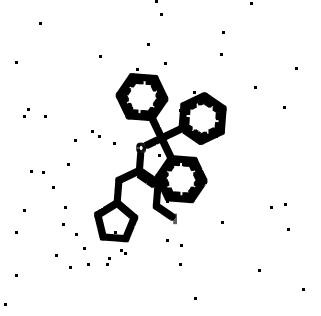 ICC=C(CC1CCCC1)OC(c1ccccc1)(c1ccccc1)c1ccccc1